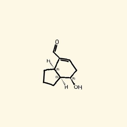 O=CC1=CC[C@@H](O)[C@H]2CCC[C@@H]12